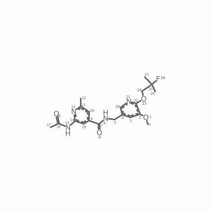 COc1cc(CNC(=O)c2cc(C)nc(NC(C)=O)c2)cnc1OCC(C)(C)F